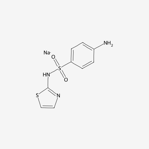 Nc1ccc(S(=O)(=O)Nc2nccs2)cc1.[Na]